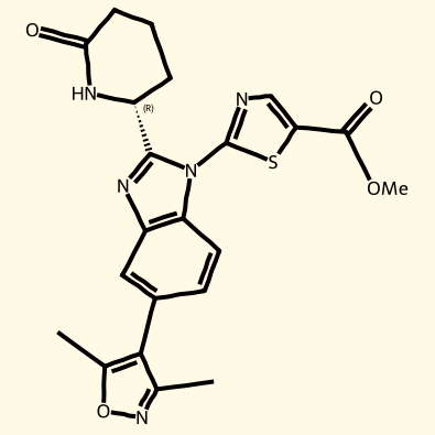 COC(=O)c1cnc(-n2c([C@H]3CCCC(=O)N3)nc3cc(-c4c(C)noc4C)ccc32)s1